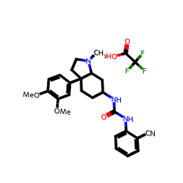 COc1ccc(C23CCC(NC(=O)Nc4ccccc4C#N)CC2N(C)CC3)cc1OC.O=C(O)C(F)(F)F